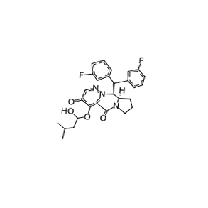 CC(C)CC(O)Oc1c2n(ncc1=O)[C@@H](C(c1cccc(F)c1)c1cccc(F)c1)[C@H]1CCCN1C2=O